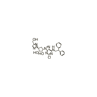 OCc1cnn([C@H]2C[C@@H](n3cnc4c(NCC(c5ccccc5)c5ccccc5)nc(Cl)nc43)[C@H](O)[C@@H]2O)n1